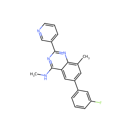 CNc1nc(-c2cccnc2)nc2c(C)cc(-c3cccc(F)c3)cc12